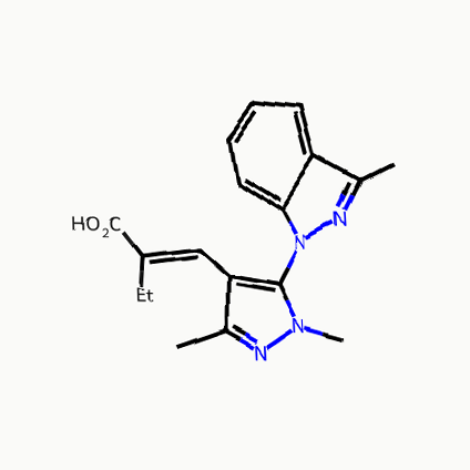 CC/C(=C\c1c(C)nn(C)c1-n1nc(C)c2ccccc21)C(=O)O